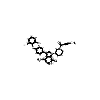 CC#CC(=O)N1CCC[C@@H](n2cc(-c3ccc(Oc4c(F)cccc4F)cc3)c3c(N)n[nH]c(=O)c32)C1